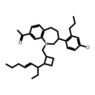 CCC/C=C/C(CC)C1CCC1CN1CC(c2ccc(Cl)cc2CCC)CCc2ccc(C(C)=O)cc21